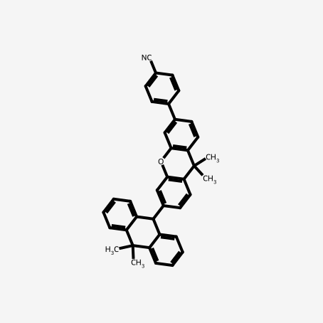 CC1(C)c2ccc(-c3ccc(C#N)cc3)cc2Oc2cc(C3c4ccccc4C(C)(C)c4ccccc43)ccc21